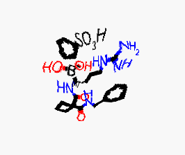 N=C(N)NCCC[C@H](NC(=O)C1(C(=O)NCc2ccccc2)CCC1)B(O)O.O=S(=O)(O)c1ccccc1